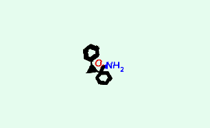 NC(=O)C1([C@H]2C[C@H]2c2ccccc2)CCCCC1